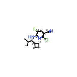 CC(C)[C@H](Nc1nc(Cl)c(C#N)cc1F)C1CCC1